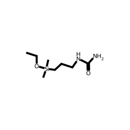 CCO[Si](C)(C)CCCNC(N)=O